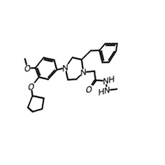 CNNC(=O)CN1CCN(c2ccc(OC)c(OC3CCCC3)c2)CC1Cc1ccccc1